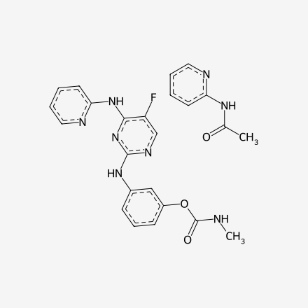 CC(=O)Nc1ccccn1.CNC(=O)Oc1cccc(Nc2ncc(F)c(Nc3ccccn3)n2)c1